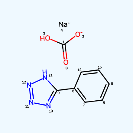 O=C([O-])O.[Na+].c1ccc(-c2nnn[nH]2)cc1